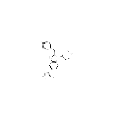 Cc1noc(C)c1-c1ccc2c(c1)nc(Cc1ccc(F)c(F)c1)n2C1CCN(C)CC1